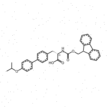 CC(C)Oc1ccc(-c2ccc(C[C@H](NC(=O)OCC3c4ccccc4-c4ccccc43)C(=O)O)cc2)cc1